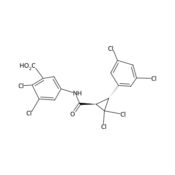 O=C(O)c1cc(NC(=O)[C@H]2[C@H](c3cc(Cl)cc(Cl)c3)C2(Cl)Cl)cc(Cl)c1Cl